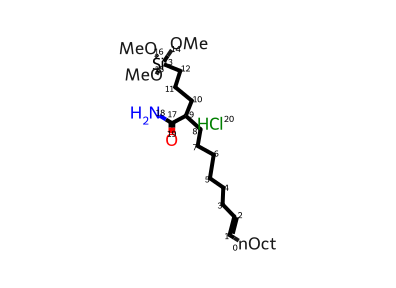 CCCCCCCCC=CCCCCCCC(CCC[Si](OC)(OC)OC)C(N)=O.Cl